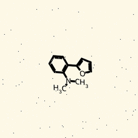 CN(C)c1ccc[c]c1-c1ccco1